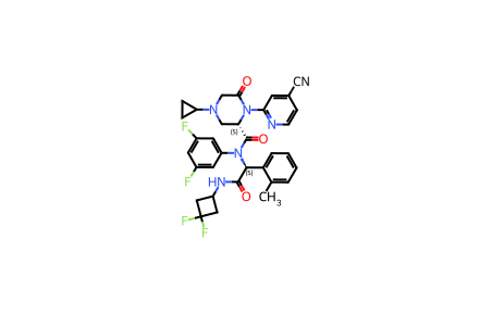 Cc1ccccc1[C@@H](C(=O)NC1CC(F)(F)C1)N(C(=O)[C@@H]1CN(C2CC2)CC(=O)N1c1cc(C#N)ccn1)c1cc(F)cc(F)c1